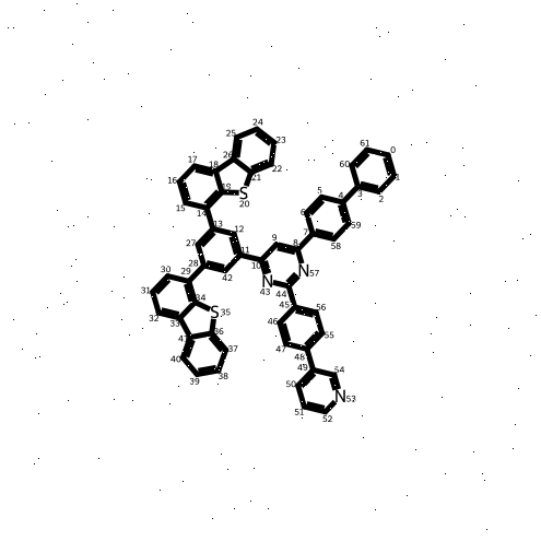 c1ccc(-c2ccc(-c3cc(-c4cc(-c5cccc6c5sc5ccccc56)cc(-c5cccc6c5sc5ccccc56)c4)nc(-c4ccc(-c5cccnc5)cc4)n3)cc2)cc1